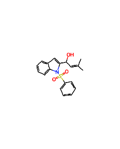 CC(C)=CC(O)c1cc2ccccc2n1S(=O)(=O)c1ccccc1